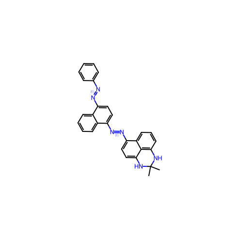 CC1(C)Nc2cccc3c(/N=N/c4ccc(/N=N/c5ccccc5)c5ccccc45)ccc(c23)N1